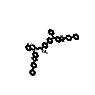 C=C/C(=C\C=C(/C)c1ccc(-c2ccc(N(c3ccccc3)c3ccc4nn(C5=CCC(c6ccccc6)C=C5)nc4c3)cc2)cc1)N(c1ccccc1)c1ccc2nn(-c3ccc(-c4ccccc4)cc3)nc2c1